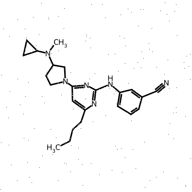 CCCCc1cc(N2CCC(N(C)C3CC3)C2)nc(Nc2cccc(C#N)c2)n1